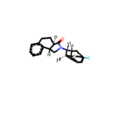 O=C1[C@@H]2CCc3ccccc3[C@H]2CN1[C@@H]1[C@@H]2C[C@]3(F)CC=C2[C@@H]1C3